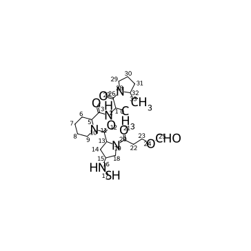 CC(NC(=O)C1CCCCN1C(=O)C1CC(NS)CN1C(=O)CCOC=O)C(=O)N1CCCC1C